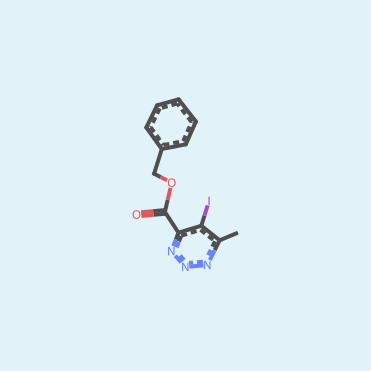 Cc1nnnc(C(=O)OCc2ccccc2)c1I